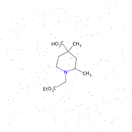 CCOC(=O)CN1CCC(C)(C(=O)O)CC1C